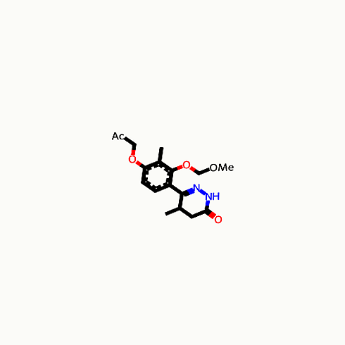 COCOc1c(C2=NNC(=O)CC2C)ccc(OCC(C)=O)c1C